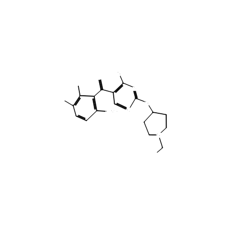 COc1ccc(F)c(F)c1C(=O)c1cnc(NC2CCN(CC=O)CC2)nc1N